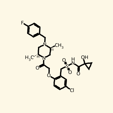 C[C@@H]1CN(Cc2ccc(F)cc2)[C@@H](C)CN1C(=O)COc1ccc(Cl)cc1CS(=O)(=O)NC(=O)C1(O)CC1